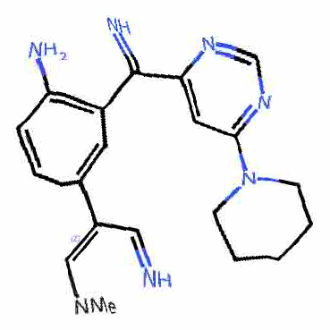 CN/C=C(\C=N)c1ccc(N)c(C(=N)c2cc(N3CCCCC3)ncn2)c1